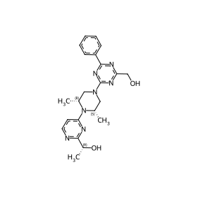 C[C@@H]1CN(c2nc(CO)nc(-c3ccccc3)n2)C[C@H](C)N1c1ccnc([C@@H](C)O)n1